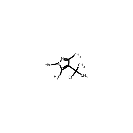 CCC(C)(C)c1c(C)nn(C(C)(C)C)c1C